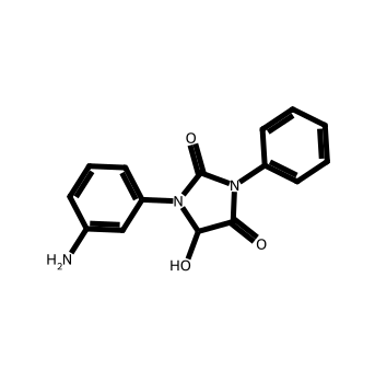 Nc1cccc(N2C(=O)N(c3ccccc3)C(=O)C2O)c1